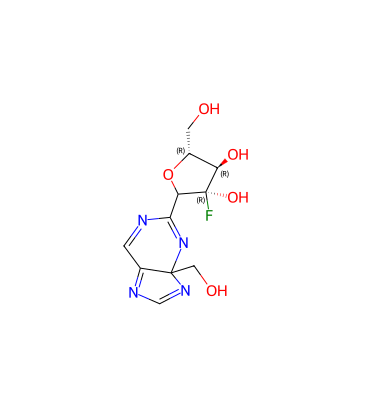 OC[C@H]1OC(C2=NC3(CO)N=CN=C3C=N2)[C@](O)(F)[C@@H]1O